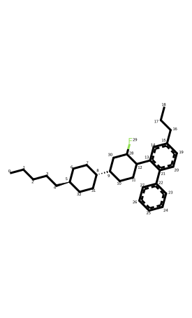 CCCCC[C@H]1CC[C@H](C2CCC(c3cc(CCC)ccc3-c3ccccc3)C(F)C2)CC1